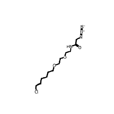 [N-]=[N+]=NCC(=O)NCCOCCOCCCCCCCl